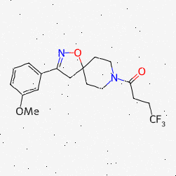 COc1cccc(C2=NOC3(CCN(C(=O)CCC(F)(F)F)CC3)C2)c1